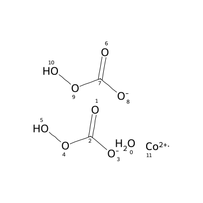 O.O=C([O-])OO.O=C([O-])OO.[Co+2]